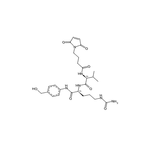 CC(C)[C@H](NC(=O)CCCN1C(=O)C=CC1=O)C(=O)N[C@@H](CCCNC(N)=O)C(=O)Nc1ccc(CO)cc1